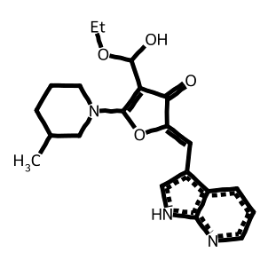 CCOC(O)C1=C(N2CCCC(C)C2)O/C(=C\c2c[nH]c3ncccc23)C1=O